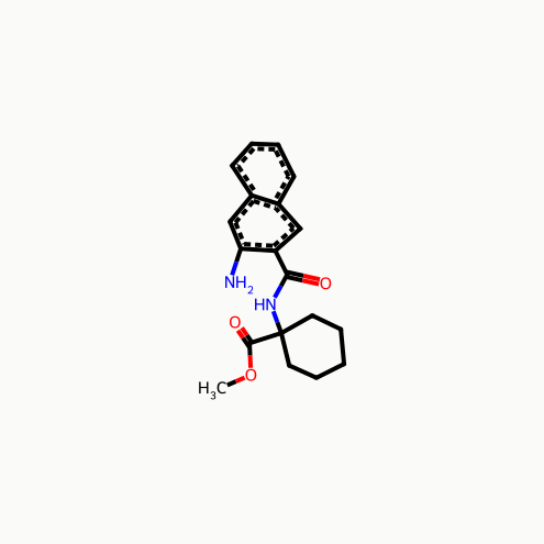 COC(=O)C1(NC(=O)c2cc3ccccc3cc2N)CCCCC1